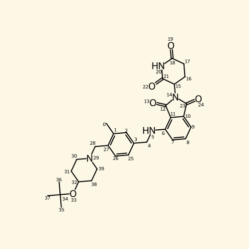 Cc1cc(CNc2cccc3c2C(=O)N(C2CCC(=O)NC2=O)C3=O)ccc1CN1CCC(OC(C)(C)C)CC1